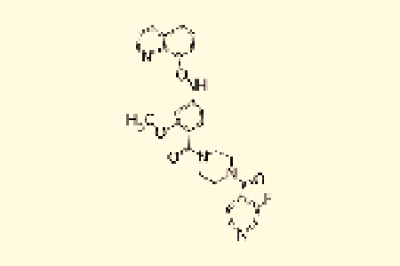 COc1cc(NOc2cccc3cccnc23)ccc1C(=O)N1CCN(C(=O)c2ccncc2F)CC1